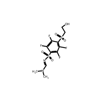 CN(C)C=NS(=O)(=O)c1c(F)c(F)c(S(=O)(=O)CCO)c(F)c1F